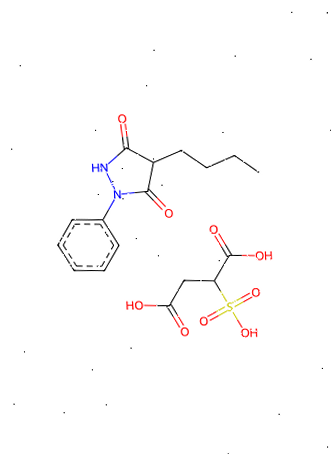 CCCCC1C(=O)NN(c2ccccc2)C1=O.O=C(O)CC(C(=O)O)S(=O)(=O)O